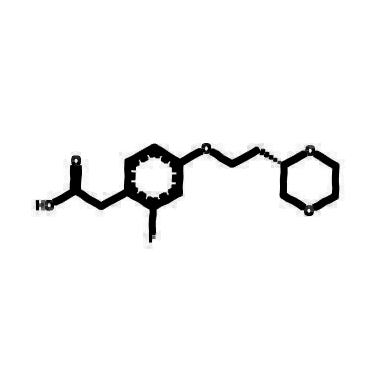 O=C(O)Cc1ccc(OCC[C@H]2COCCO2)cc1F